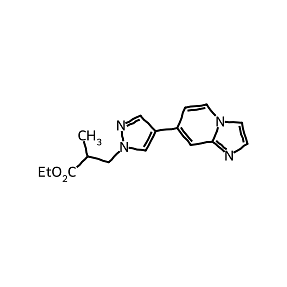 CCOC(=O)C(C)Cn1cc(-c2ccn3ccnc3c2)cn1